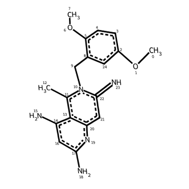 COc1ccc(OC)c(Cn2c(C)c3c(N)cc(N)nc3cc2=N)c1